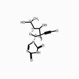 C[C@H](O)[C@H]1O[C@@H](n2cnc(=O)[nH]c2=O)[C@@](F)(C#CCl)C1O